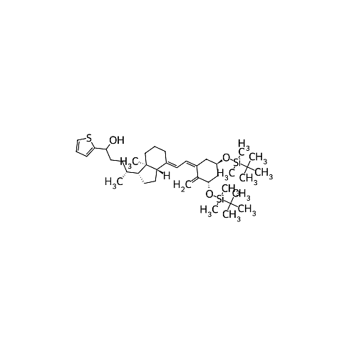 C=C1/C(=C\C=C2/CCC[C@]3(C)[C@@H]([C@H](C)CCC(O)c4cccs4)CC[C@@H]23)C[C@@H](O[Si](C)(C)C(C)(C)C)C[C@@H]1O[Si](C)(C)C(C)(C)C